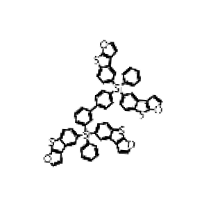 c1ccc([Si](c2ccc(-c3cccc([Si](c4ccccc4)(c4ccc5sc6occc6c5c4)c4ccc5sc6occc6c5c4)c3)cc2)(c2ccc3sc4occc4c3c2)c2ccc3sc4occc4c3c2)cc1